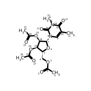 CC(=O)OC[C@H]1O[C@@H](n2cc(C)c(=O)n(C)c2=O)[C@H](OC(C)=O)[C@@H]1OC(C)=O